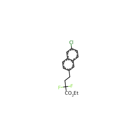 CCOC(=O)C(F)(F)CCc1ccc2cc(Cl)ccc2c1